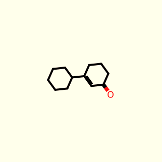 O=C1C=C(C2CCCCC2)CCC1